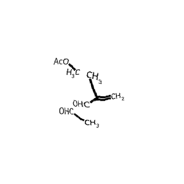 C=C(C)C=O.CC=O.COC(C)=O